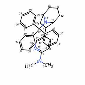 CN(C)c1ccc(C2CC3CCCC2N3C(c2ccccc2)(c2ccccc2)c2ccccc2)cn1